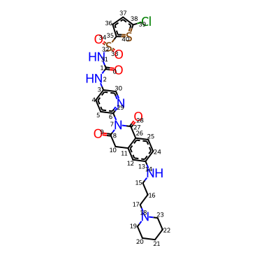 O=C(Nc1ccc(N2C(=O)Cc3cc(NCCCN4CCCCC4)ccc3C2=O)nc1)NS(=O)(=O)c1ccc(Cl)s1